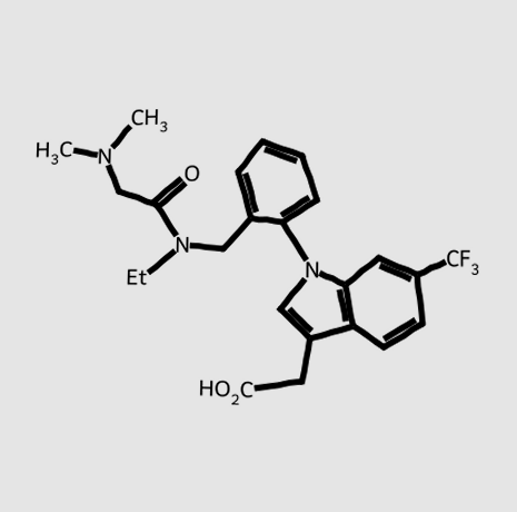 CCN(Cc1ccccc1-n1cc(CC(=O)O)c2ccc(C(F)(F)F)cc21)C(=O)CN(C)C